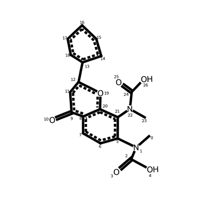 CN(C(=O)O)c1ccc2c(=O)cc(-c3ccccc3)oc2c1N(C)C(=O)O